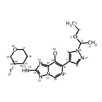 CCOC(C)n1cc(-c2ncn3nc(N[C@H]4CCOC[C@H]4F)nc3c2Cl)cn1